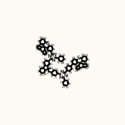 CC1(Cc2ccc(-c3nc(-c4ccccc4)nc(-c4ccc(-c5ccc6c(c5)C5(c7ccccc7S6)c6ccccc6-c6ccccc65)cc4)n3)cc2)c2ccccc2-c2ccc(-c3nc(-c4ccccc4)nc(-c4ccc5c(c4)C4(c6ccccc6S5)c5ccccc5-c5ccccc54)n3)cc21